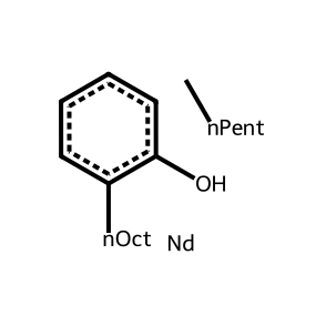 CCCCCC.CCCCCCCCc1ccccc1O.[Nd]